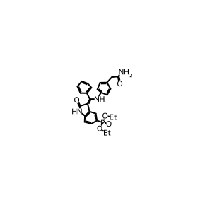 CCOP(=O)(OCC)c1ccc2c(c1)C(=C(Nc1ccc(CC(N)=O)cc1)c1ccccc1)C(=O)N2